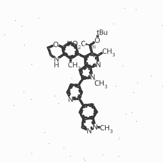 Cc1nc2c(cc(-c3ccnc(-c4ccc5c(cnn5C)c4)c3)n2C)c(-c2ccc3c(c2C)NCCO3)c1[C@H](OC(C)(C)C)C(=O)O